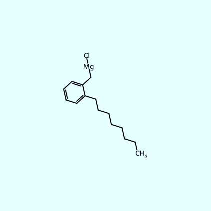 CCCCCCCCc1ccccc1[CH2][Mg][Cl]